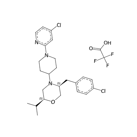 CC(C)[C@H]1CN(C2CCN(c3cc(Cl)ccn3)CC2)[C@@H](Cc2ccc(Cl)cc2)CO1.O=C(O)C(F)(F)F